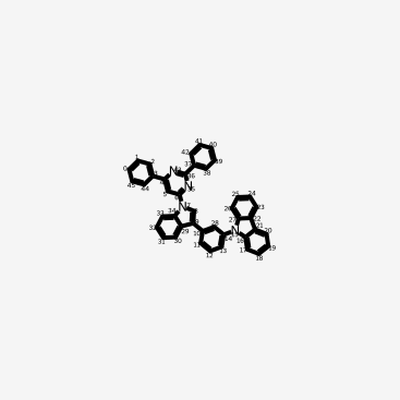 c1ccc(-c2cc(-n3cc(-c4cccc(-n5c6ccccc6c6ccccc65)c4)c4ccccc43)nc(-c3ccccc3)n2)cc1